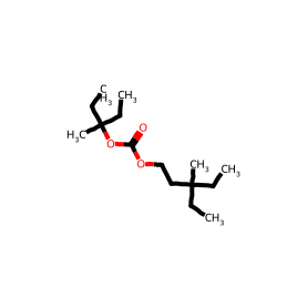 CCC(C)(CC)CCOC(=O)OC(C)(CC)CC